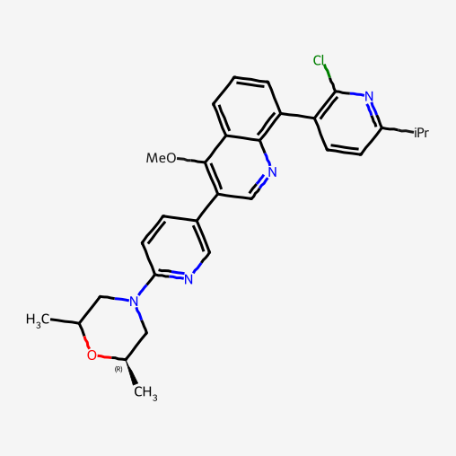 COc1c(-c2ccc(N3CC(C)O[C@H](C)C3)nc2)cnc2c(-c3ccc(C(C)C)nc3Cl)cccc12